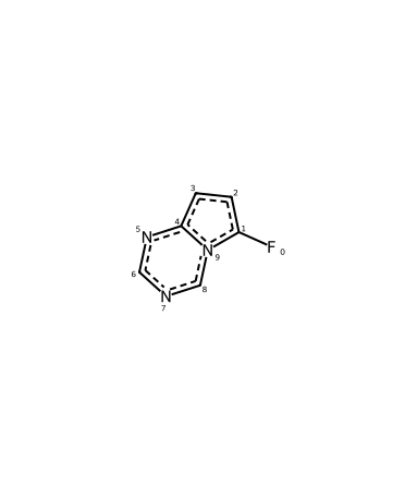 Fc1ccc2ncncn12